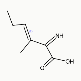 CC/C=C(\C)C(=N)C(=O)O